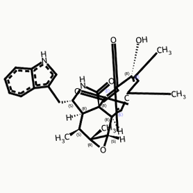 C/C1=C/C(C)C/C=C/[C@H]2[C@@H]3O[C@]3(C)[C@@H](C)[C@H]3[C@H](Cc4c[nH]c5ccccc45)NC(=O)[C@]32C(=O)/C=C/C(=O)[C@@H]1O